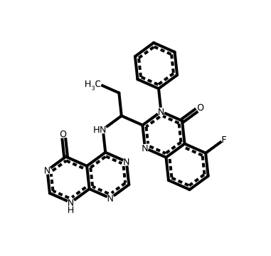 CCC(Nc1ncnc2[nH]cnc(=O)c12)c1nc2cccc(F)c2c(=O)n1-c1ccccc1